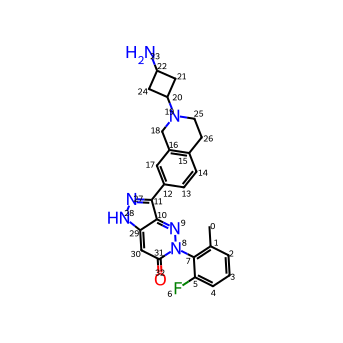 Cc1cccc(F)c1-n1nc2c(-c3ccc4c(c3)CN(C3CC(N)C3)CC4)n[nH]c2cc1=O